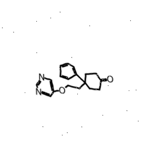 O=C1CCC(CCOc2cncnc2)(c2ccccc2)CC1